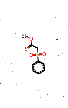 CCOC(=S)CS(=O)(=O)c1ccccc1